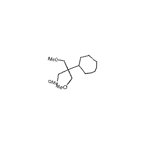 COCC(COC)(COC)C1CCCCC1